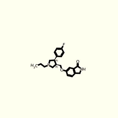 CCCN1C[C@H](COc2ccc3c(c2)C(=O)NC3)[C@H](c2ccc(F)cc2)C1